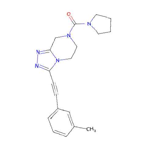 Cc1cccc(C#Cc2nnc3n2CCN(C(=O)N2CCCC2)C3)c1